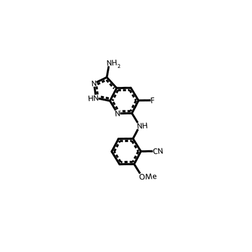 COc1cccc(Nc2nc3[nH]nc(N)c3cc2F)c1C#N